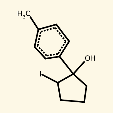 Cc1ccc(C2(O)CCCC2I)cc1